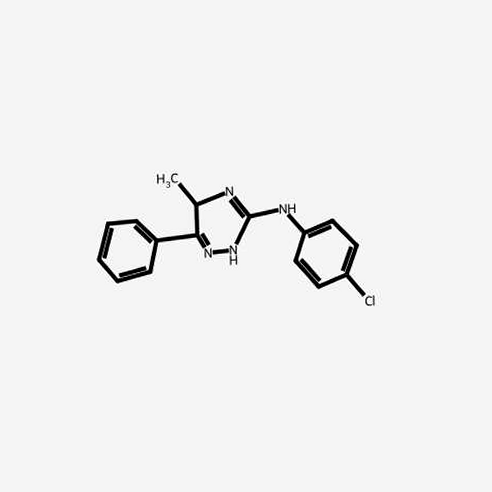 CC1N=C(Nc2ccc(Cl)cc2)NN=C1c1ccccc1